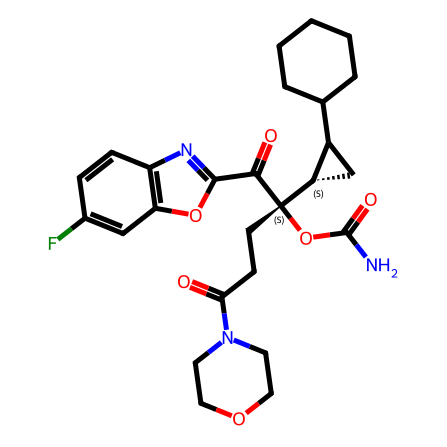 NC(=O)O[C@](CCC(=O)N1CCOCC1)(C(=O)c1nc2ccc(F)cc2o1)[C@H]1CC1C1CCCCC1